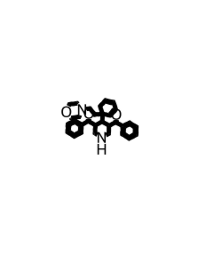 O=C(c1ccccc1)C1CNCC(C(=O)c2ccccc2)C1C1(CCN2CCOCC2)C=CC=CC1